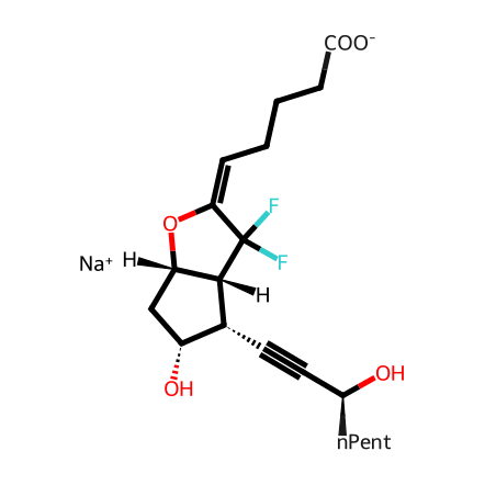 CCCCC[C@H](O)C#C[C@H]1[C@@H]2[C@H](C[C@H]1O)OC(=CCCCC(=O)[O-])C2(F)F.[Na+]